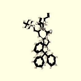 C=CCOC(=O)NC(CO[Si](C)(C)C(C)(C)C)C[C@@H]1C[C@H](SC(c2ccccc2)(c2ccccc2)c2ccccc2)CN1C(=O)OCC=C